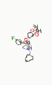 [2H]C1([2H])Oc2ccc(OC([2H])([2H])[C@@H]3[C@@H](c4ccc(F)cc4)CCN(Cc4ccccc4)C3([2H])[2H])cc2O1